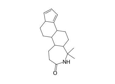 CC1(C)NC(=O)CCC2C3CCC4C=CC=C4C3CCC21